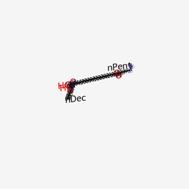 CCCCC/C=C\C/C=C\CCCCCCCC(=O)OCCCCCCCCCCCCCCCCCCCCCCCCCCCCCCCC(=O)N(CCO)CC(O)COCCCCCCCCCCCCCCCC